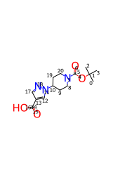 CC(C)(C)OC(=O)N1CCC(n2cc(C(=O)O)cn2)CC1